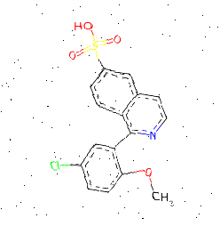 COc1ccc(Cl)cc1-c1nccc2cc(S(=O)(=O)O)ccc12